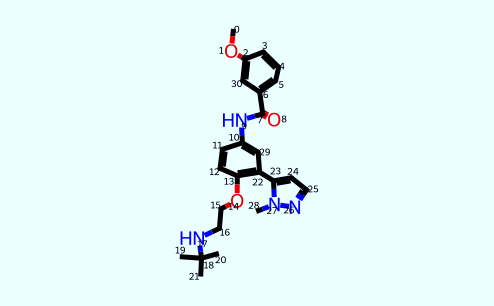 COc1cccc(C(=O)Nc2ccc(OCCNC(C)(C)C)c(-c3ccnn3C)c2)c1